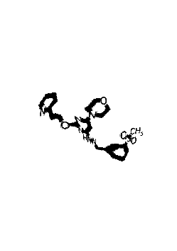 CS(=O)(=O)c1cccc(/C=N/Nc2cc(N3CCOCC3)nc(OCCc3ccccn3)n2)c1